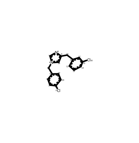 Clc1ccc(Cn2cnc(Cc3cccc(Cl)c3)c2)cc1